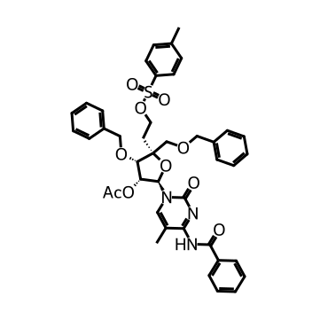 CC(=O)O[C@H]1[C@H](n2cc(C)c(NC(=O)c3ccccc3)nc2=O)O[C@](CCOS(=O)(=O)c2ccc(C)cc2)(COCc2ccccc2)[C@H]1OCc1ccccc1